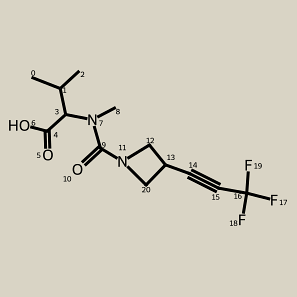 CC(C)C(C(=O)O)N(C)C(=O)N1CC(C#CC(F)(F)F)C1